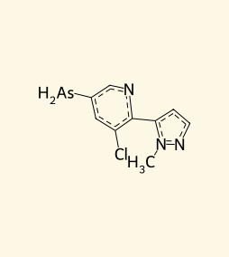 Cn1nccc1-c1ncc([AsH2])cc1Cl